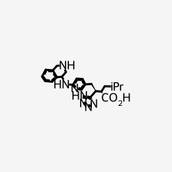 CC(C)C[C@H](C(=O)O)[C@H](Cc1ccc(NC2CNCc3ccccc32)nc1)c1nnn[nH]1